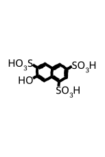 O=S(=O)(O)c1cc(S(=O)(=O)O)c2cc(O)c(S(=O)(=O)O)cc2c1